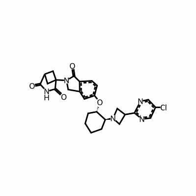 O=C1NC(=O)C2(N3Cc4cc(O[C@H]5CCCC[C@@H]5N5CC(c6ncc(Cl)cn6)C5)ccc4C3=O)CC1C2